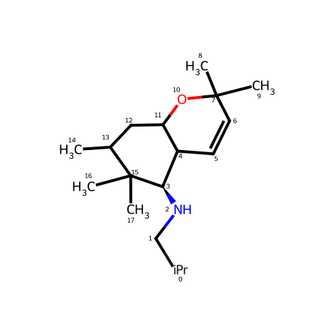 CC(C)CN[C@@H]1C2C=CC(C)(C)OC2CC(C)C1(C)C